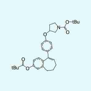 CC(C)(C)OC(=O)N1CCC(Oc2ccc(C3=CCCCc4cc(OC(=O)C(C)(C)C)ccc43)cc2)C1